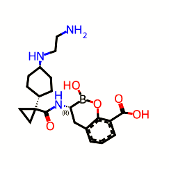 NCCN[C@H]1CC[C@H](C2(C(=O)N[C@H]3Cc4cccc(C(=O)O)c4OB3O)CC2)CC1